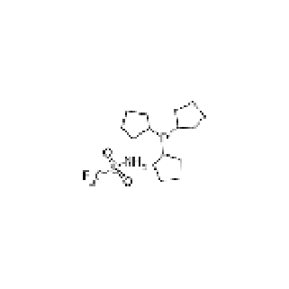 C1CCC(P(C2CCCC2)C2CCCC2)C1.NS(=O)(=O)C(F)(F)F